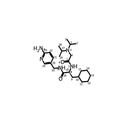 CC(C)N(CC(=O)N[C@@H](CC1CCCCC1)C(=O)NCc1ccc(N)nc1)C(C)C